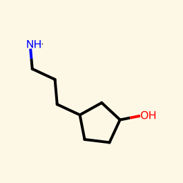 [NH]CCCC1CCC(O)C1